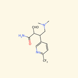 CN(C)CC(c1ccc(C(F)(F)F)nc1)C(C=O)C(N)=O